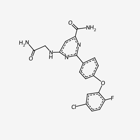 NC(=O)CNc1cc(C(N)=O)nc(-c2ccc(Oc3cc(Cl)ccc3F)cc2)n1